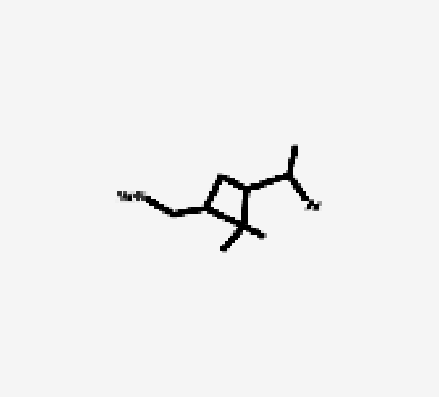 CNCC1CC(C(C)C(C)=O)C1(C)C